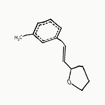 Cc1cccc(C=CC2CCCO2)c1